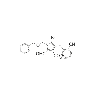 CCOC(=O)c1c(Cc2ccccc2C#N)c(Br)n(COCc2ccccc2)c1C=O